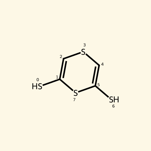 SC1=CSC=C(S)S1